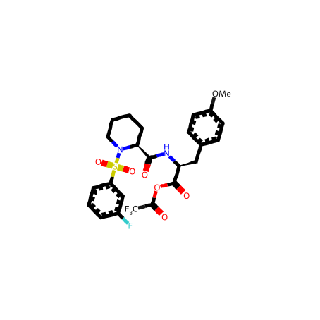 COc1ccc(C[C@H](NC(=O)[C@@H]2CCCCN2S(=O)(=O)c2cccc(F)c2)C(=O)OC(=O)C(F)(F)F)cc1